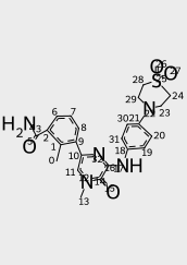 Cc1c(C(N)=O)cccc1-c1cn(C)c(=O)c(Nc2ccc(N3CCS(=O)(=O)CC3)cc2)n1